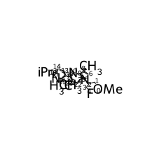 COCC(CF)n1cc(C)c2nc(-c3ccc(C(C)C)nc3C)c(C)cc21